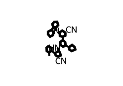 Cc1ccccc1-c1cc(C#N)ccc1Nc1cc(-c2ccccc2)cc(-c2cc(C#N)cc(-n3c4ccccc4c4ccccc43)c2)c1